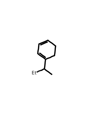 CCC(C)C1=CC=CCC1